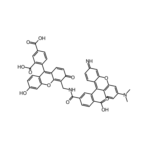 CN(C)c1ccc2c(-c3cc(C(=O)NCc4c5oc6cc(O)ccc6c(-c6ccc(C(=O)O)cc6C(=O)O)c-5ccc4=O)ccc3C(=O)O)c3ccc(=N)cc-3oc2c1